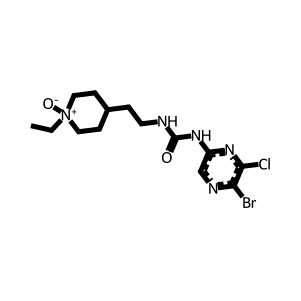 CC[N+]1([O-])CCC(CCNC(=O)Nc2cnc(Br)c(Cl)n2)CC1